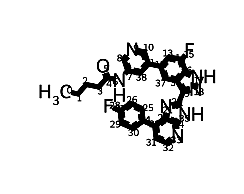 CCCCC(=O)Nc1cncc(-c2cc(F)c3[nH]nc(-c4nc5c(-c6ccc(F)cc6)ccnc5[nH]4)c3c2)c1